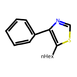 [CH2]CCCCCc1scnc1-c1ccccc1